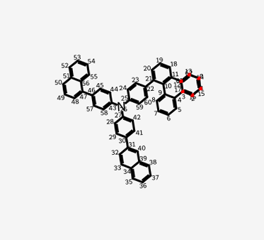 c1ccc(-c2ccccc2-c2c(-c3ccccc3)cccc2-c2ccc(N(c3ccc(-c4ccc5ccccc5c4)cc3)c3ccc(-c4cccc5ccccc45)cc3)cc2)cc1